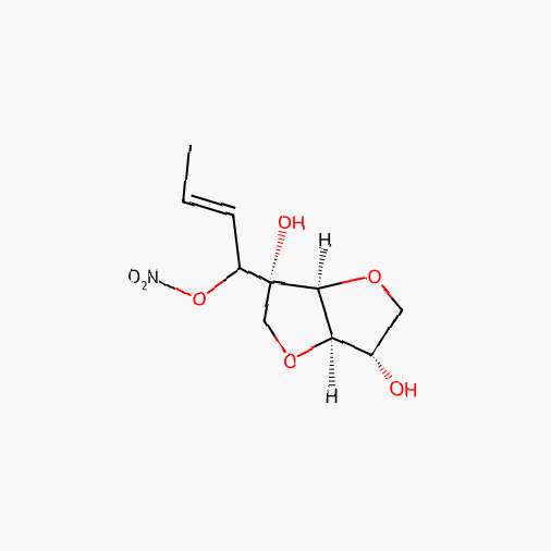 CC=CC(O[N+](=O)[O-])[C@]1(O)CO[C@@H]2[C@@H](O)CO[C@@H]21